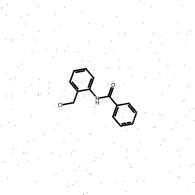 O=C(Nc1ccccc1CCl)c1ccccc1